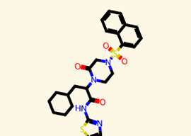 O=C(Nc1nccs1)C(CC1CCCCC1)N1CCN(S(=O)(=O)c2cccc3ccccc23)CC1=O